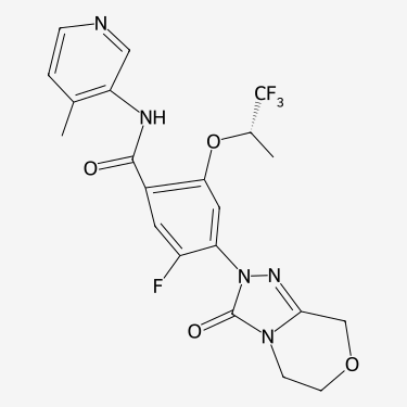 Cc1ccncc1NC(=O)c1cc(F)c(-n2nc3n(c2=O)CCOC3)cc1O[C@@H](C)C(F)(F)F